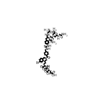 NC(=O)CNCCN(CCN(CC(N)=O)C(CNCC(N)O)Cc1ccc(NC(=S)NCC2CCC(C(=O)N(CCCC[C@@H](NC(=O)N[C@H](CCC(=O)O)C(=O)O)C(=O)O)Cc3ccc(Br)cc3)CC2)cc1)CC(N)=O